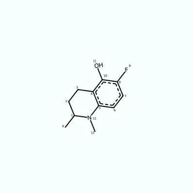 CC1CCc2c(ccc(F)c2O)N1C